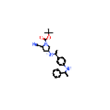 C=C(Nc1ccc(C(=C)NC2CC(C#N)N(C(=O)OC(C)(C)C)C2)cc1)c1ccccc1